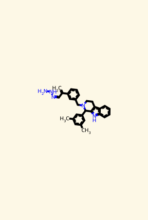 C=C(/C=N\NN)c1cccc(CN2CCc3c([nH]c4ccccc34)C2c2cc(C)cc(C)c2)c1